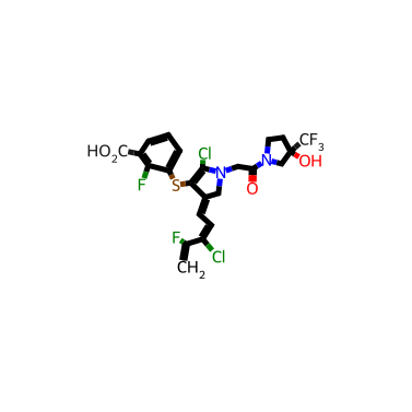 C=C(F)/C(Cl)=C\C=C1/CN(CC(=O)N2CCC(O)(C(F)(F)F)C2)C(Cl)=C1Sc1cccc(C(=O)O)c1F